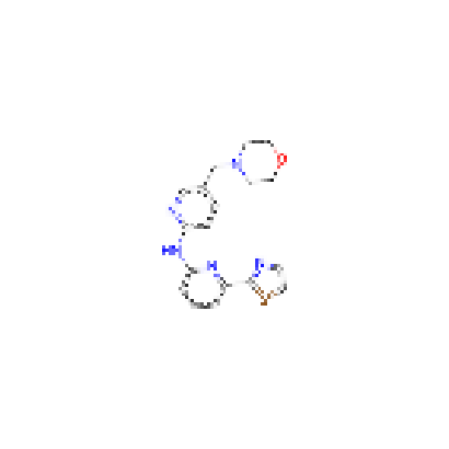 c1cc(Nc2ccc(CN3CCOCC3)cn2)nc(-c2nccs2)c1